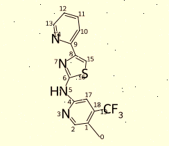 Cc1cnc(Nc2nc(-c3ccccn3)cs2)cc1C(F)(F)F